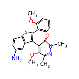 COc1ccccc1-c1sc2ccc(N)cc2c1-c1c(OC)c(C)nn(C)c1=O